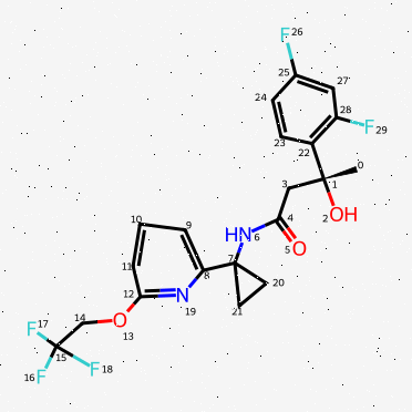 C[C@@](O)(CC(=O)NC1(c2cccc(OCC(F)(F)F)n2)CC1)c1ccc(F)cc1F